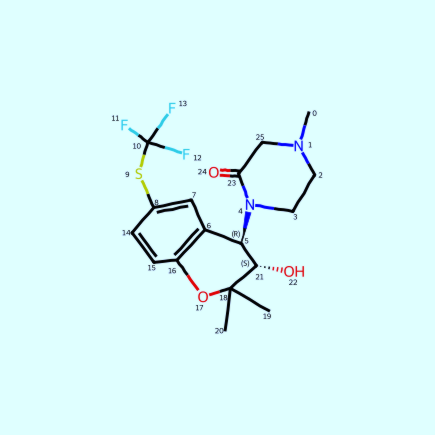 CN1CCN([C@@H]2c3cc(SC(F)(F)F)ccc3OC(C)(C)[C@H]2O)C(=O)C1